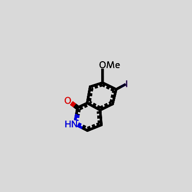 COc1cc2c(=O)[nH]ccc2cc1I